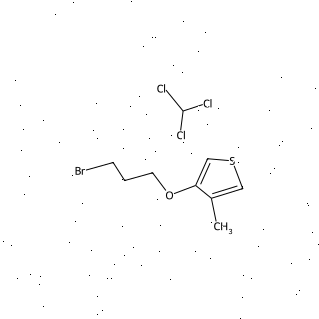 Cc1cscc1OCCCBr.ClC(Cl)Cl